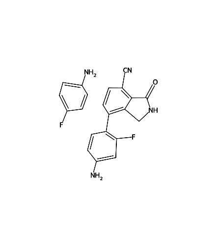 N#Cc1ccc(-c2ccc(N)cc2F)c2c1C(=O)NC2.Nc1ccc(F)cc1